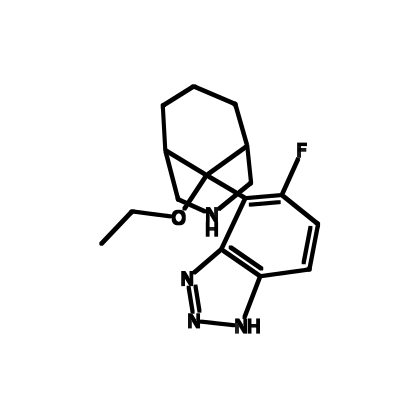 CCOC1(c2c(F)ccc3[nH]nnc23)C2CCCC1CNC2